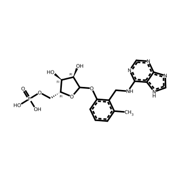 Cc1cccc(OC2O[C@H](COP(=O)(O)O)[C@@H](O)[C@H]2O)c1CNc1ncnc2nc[nH]c12